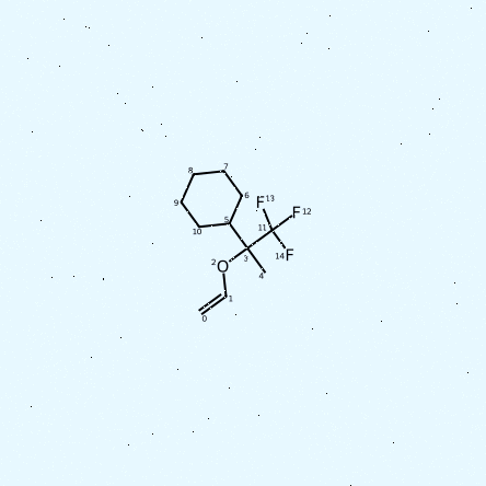 C=COC(C)(C1CCCCC1)C(F)(F)F